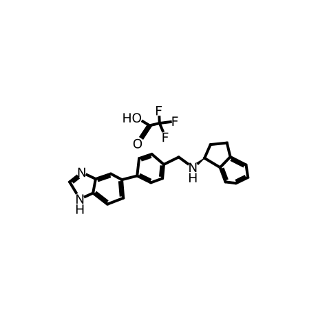 O=C(O)C(F)(F)F.c1ccc2c(c1)CC[C@@H]2NCc1ccc(-c2ccc3[nH]cnc3c2)cc1